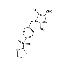 CCCCc1nc(C=O)c(Cl)n1Cc1ccc(S(=O)(=O)C2CCCN2)cc1